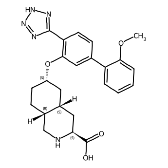 COc1ccccc1-c1ccc(-c2nn[nH]n2)c(O[C@H]2CC[C@H]3CN[C@H](C(=O)O)C[C@H]3C2)c1